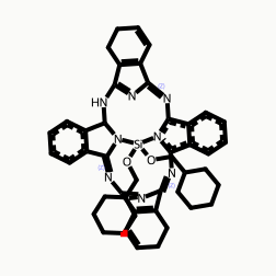 C1=CC2=C(CC1)C1=N/C2=N\c2c3ccccc3c3n2[Si](OCC2CCCCC2)(OCC2CCCCC2)N2/C(=N\C4=NC(=N\3)/C3=C4C=CCC3)c3ccccc3C2N1